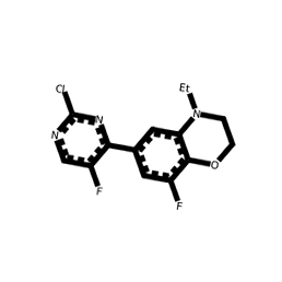 CCN1CCOc2c(F)cc(-c3nc(Cl)ncc3F)cc21